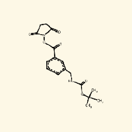 CC(C)(C)OC(=O)NCc1cccc(C(=O)ON2C(=O)CCC2=O)c1